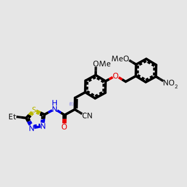 CCc1nnc(NC(=O)/C(C#N)=C/c2ccc(OCc3cc([N+](=O)[O-])ccc3OC)c(OC)c2)s1